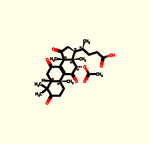 CC(=O)O[C@@H]1C(=O)C2=C(C(=O)C[C@H]3C(C)(C)C(=O)CC[C@]23C)[C@]2(C)C(=O)C[C@H]([C@H](C)CCC(=O)O)[C@@]12C